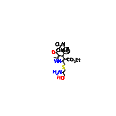 CCOC(=O)C1=C(CSCC(N)CO)NC(C)=C(C(=O)OC)C1c1cccc([N+](=O)[O-])c1